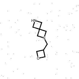 C1OCC1CN1CC2(CNC2)C1